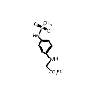 CCOC(=O)CNc1ccc(NS(C)(=O)=O)cc1